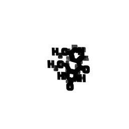 CCc1[nH]c(=O)[nH]c1C(=O)c1cncc(C)c1